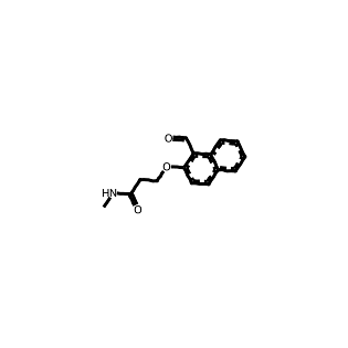 CNC(=O)CCOc1ccc2ccccc2c1C=O